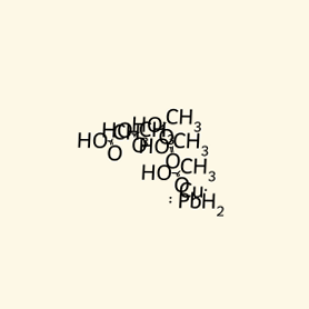 CC(=O)O.CC(=O)O.CC(=O)O.CC(=O)O.CC(=O)O.[Cu].[PbH2]